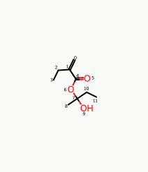 C=C(CC)C(=O)OC(C)(O)CC